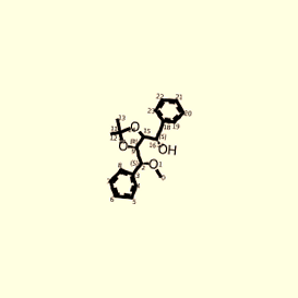 CO[C@@H](c1ccccc1)[C@H]1OC(C)(C)OC1[C@@H](O)c1ccccc1